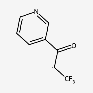 O=C([CH]C(F)(F)F)c1cccnc1